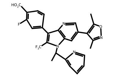 Cc1noc(C)c1-c1cnc2c(-c3ccc(C(=O)O)c(F)c3)c(C(F)(F)F)n(C(C)c3ccccn3)c2c1